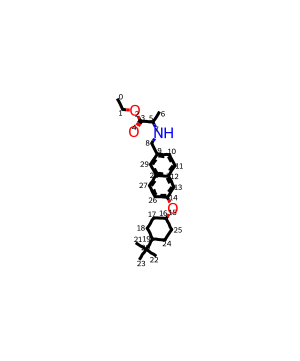 CCOC(=O)C(C)NCc1ccc2cc(OC3CCC(C(C)(C)C)CC3)ccc2c1